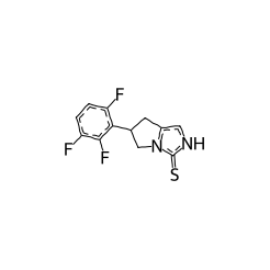 Fc1ccc(F)c(C2Cc3c[nH]c(=S)n3C2)c1F